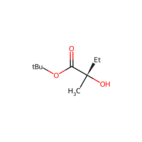 CC[C@](C)(O)C(=O)OC(C)(C)C